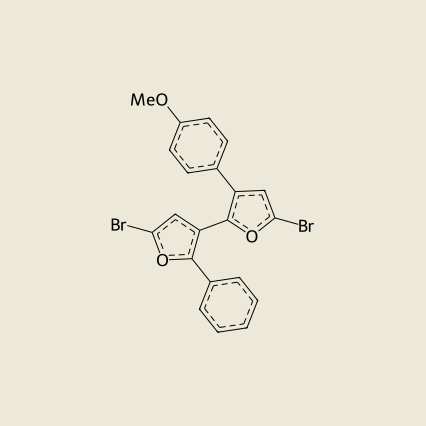 COc1ccc(-c2cc(Br)oc2-c2cc(Br)oc2-c2ccccc2)cc1